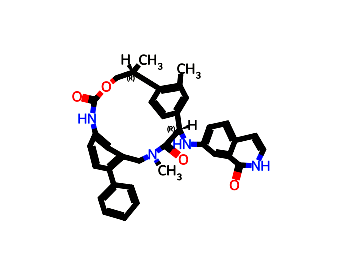 Cc1cc2ccc1[C@@H](C)COC(=O)Nc1ccc(-c3ccccc3)c(c1)CN(C)C(=O)[C@@H]2Nc1ccc2cc[nH]c(=O)c2c1